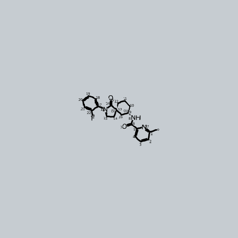 Cc1cccc(C(=O)N[C@H]2CCC[C@]3(CCN(c4ccccc4F)C3=O)C2)n1